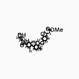 COC(=O)CC1COc2cc(OC3CCc4c(-c5c(C)cc(C(=O)NCC(C)(C)O)cc5C)ccc(F)c43)ccc21